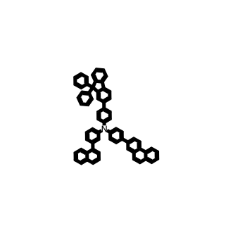 c1ccc(C2(c3ccccc3)c3ccccc3-c3ccc(-c4ccc(N(c5ccc(-c6ccc7c(ccc8ccccc87)c6)cc5)c5cccc(-c6cccc7ccccc67)c5)cc4)cc32)cc1